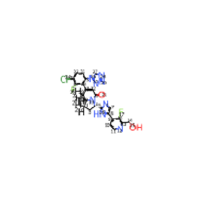 [2H]C1([2H])C[C@@H](c2ncc(-c3ccnc(CO)c3F)[nH]2)N2C(=O)C=C(c3c(-n4cnnn4)ccc(Cl)c3F)C([2H])([2H])C21[2H]